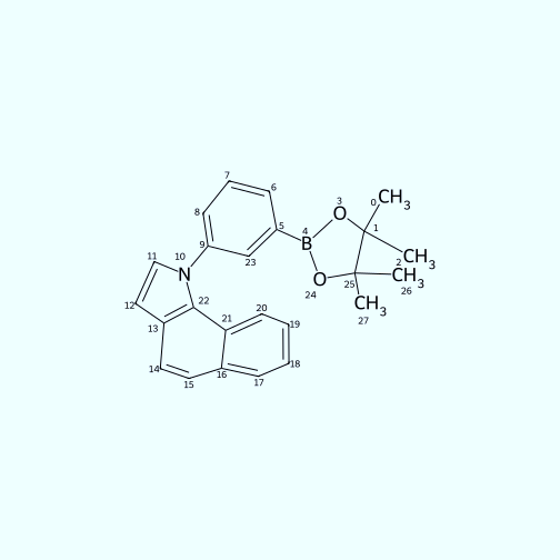 CC1(C)OB(c2cccc(-n3ccc4ccc5ccccc5c43)c2)OC1(C)C